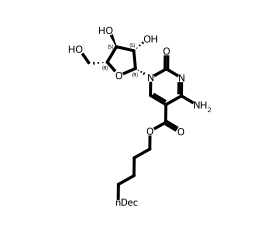 CCCCCCCCCCCCCCOC(=O)c1cn([C@@H]2O[C@H](CO)[C@@H](O)[C@@H]2O)c(=O)nc1N